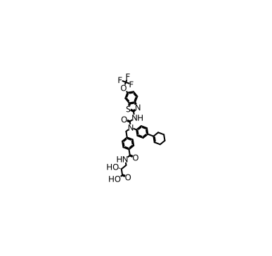 O=C(NC[C@@H](O)C(=O)O)c1ccc(CN(C(=O)Nc2nc3ccc(OC(F)(F)F)cc3s2)c2ccc(C3=CCCCC3)cc2)cc1